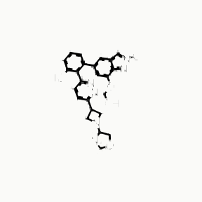 CCOc1cc(-c2cccc(O)c2-c2ccc(C3CN(C4COCN4)C3)nn2)cc2cn(C)nc12